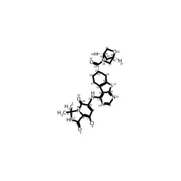 CC1(C)NC(=O)c2c(Cl)cc(Nc3ncnc4sc5c(c34)CC[C@H](C(=O)N3C[C@H]4C[C@@H]3CO4)C5)c(=O)n21